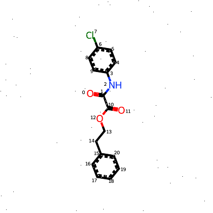 O=C(Nc1ccc(Cl)cc1)C(=O)OCCc1ccccc1